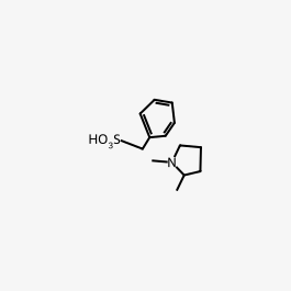 CC1CCCN1C.O=S(=O)(O)Cc1ccccc1